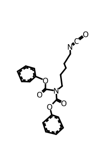 O=C=NCCCCCN(C(=O)Oc1ccccc1)C(=O)Oc1ccccc1